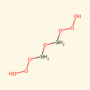 OOO[SiH2]O[SiH2]OOO